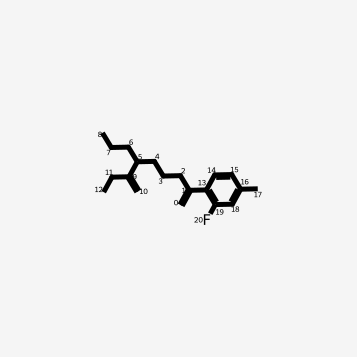 C=C(CCCC(CCC)C(=C)CC)c1ccc(C)cc1F